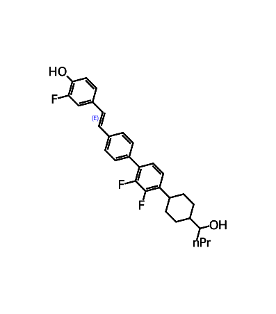 CCCC(O)C1CCC(c2ccc(-c3ccc(/C=C/c4ccc(O)c(F)c4)cc3)c(F)c2F)CC1